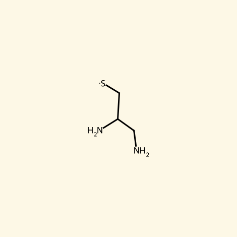 NCC(N)C[S]